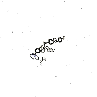 CC(C)(C)OC(=O)N(Cc1ccc(/C=C/C(=O)O)cc1)C1CC1c1ccc(OCc2ccc(F)cc2)cc1